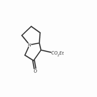 CCOC(=O)C1C(=O)CN2CCCC12